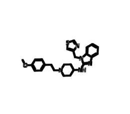 COc1ccc(CCN2CCC(Nc3nc4ccccc4n3Cc3cscn3)CC2)cc1